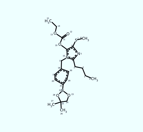 CCCCc1nc(SC)c(OC(=O)OCC)n1Cc1ccc(B2OCC(C)(C)O2)cc1